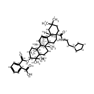 CC1(C)CC[C@]2(C(=O)NCCN3CCCC3)CC[C@]3(C)C(=CC[C@@H]4[C@@]5(C)CC[C@H](OC(=O)c6ccccc6C(=O)O)C(C)(C)[C@@H]5CC[C@]43C)[C@@H]2C1